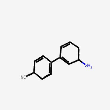 N#CC1C=CC(C2=CC(N)CC=C2)=CC1